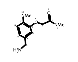 CNC(=O)COc1cc(CN)ccc1NC